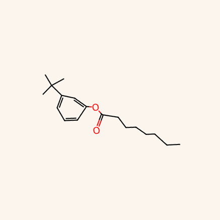 CCCCCCCC(=O)Oc1cccc(C(C)(C)C)c1